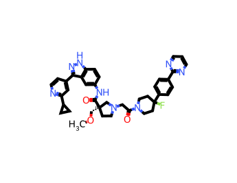 COC[C@@]1(C(=O)Nc2ccc3[nH]nc(-c4ccnc(C5CC5)c4)c3c2)CCN(CC(=O)N2CCC(F)(c3ccc(-c4ncccn4)cc3)CC2)C1